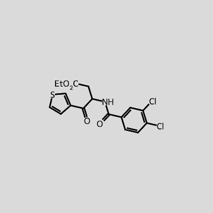 CCOC(=O)CC(NC(=O)c1ccc(Cl)c(Cl)c1)C(=O)c1ccsc1